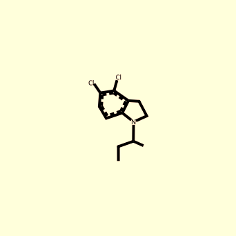 CCC(C)N1CCc2c1ccc(Cl)c2Cl